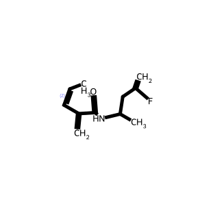 C=C(F)CC(C)NC(=O)C(=C)/C=C\C